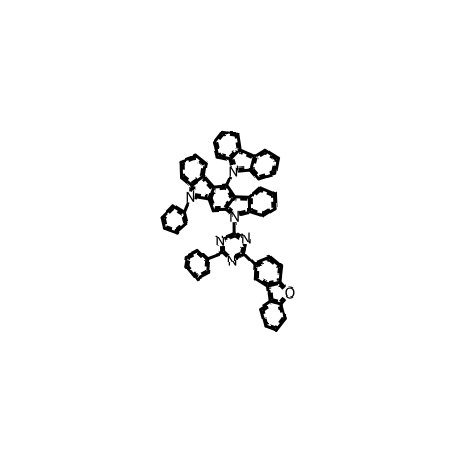 c1ccc(-c2nc(-c3ccc4oc5ccccc5c4c3)nc(-n3c4ccccc4c4c(-n5c6ccccc6c6ccccc65)c5c6ccccc6n(-c6ccccc6)c5cc43)n2)cc1